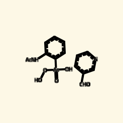 CC(=O)Nc1ccccc1[As](=O)(O)OO.O=Cc1cccnc1